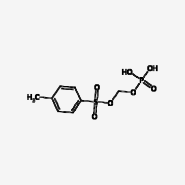 Cc1ccc(S(=O)(=O)OCOP(=O)(O)O)cc1